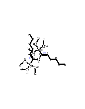 CCCC/C=C(\O/C(=C\CCCC)[Si](OC)(OC)OC)[Si](OC)(OC)OC